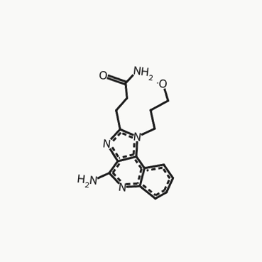 NC(=O)CCc1nc2c(N)nc3ccccc3c2n1CCC[O]